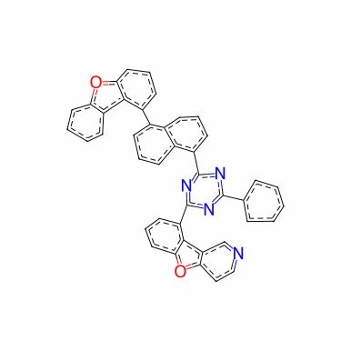 c1ccc(-c2nc(-c3cccc4c(-c5cccc6oc7ccccc7c56)cccc34)nc(-c3cccc4oc5ccncc5c34)n2)cc1